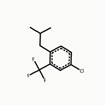 CC(C)Cc1ccc(Cl)cc1C(F)(F)F